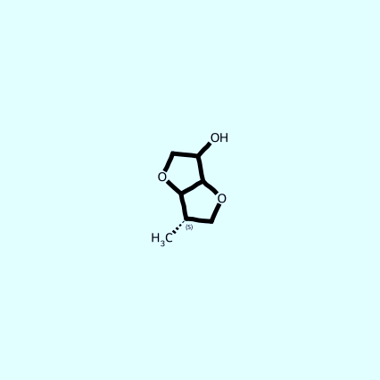 C[C@H]1COC2C(O)COC21